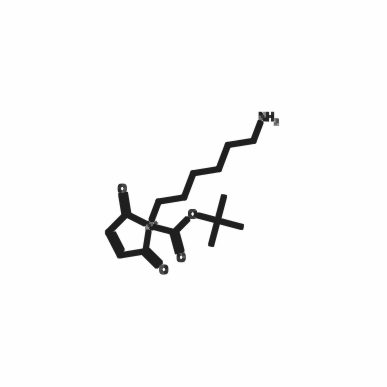 CC(C)(C)OC(=O)[N+]1(CCCCCCN)C(=O)C=CC1=O